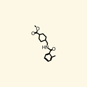 COC(=O)C1CCC(CNC(=O)c2ccccc2C)CC1